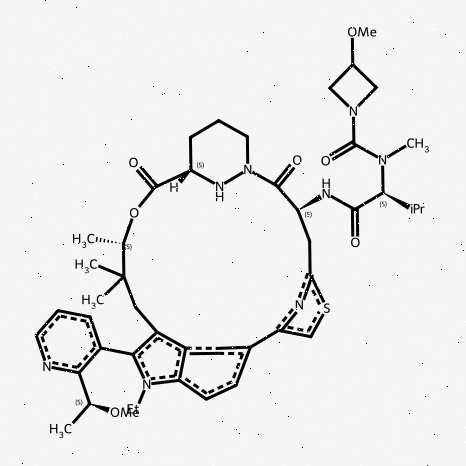 CCn1c(-c2cccnc2[C@H](C)OC)c2c3cc(ccc31)-c1csc(n1)C[C@H](NC(=O)[C@H](C(C)C)N(C)C(=O)N1CC(OC)C1)C(=O)N1CCC[C@H](N1)C(=O)O[C@@H](C)C(C)(C)C2